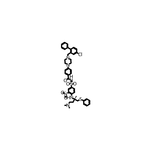 CN(C)CC[C@@](C)(CSc1ccccc1)Nc1ccc(S(=O)(=O)NC(=O)c2ccc(N3CCN(Cc4cc(Cl)ccc4-c4ccccc4)CC3)cc2)cc1[N+](=O)[O-]